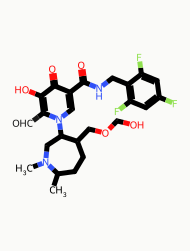 CC1CCC(COCO)C(n2cc(C(=O)NCc3c(F)cc(F)cc3F)c(=O)c(O)c2C=O)CN1C